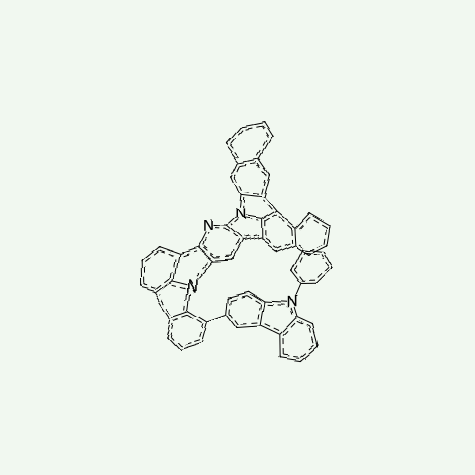 c1ccc(-n2c3ccccc3c3cc(-c4cccc5c6cccc7c8nc9c(cc8n(c45)c67)c4cc5ccccc5c5c6cc7ccccc7cc6n9c45)ccc32)cc1